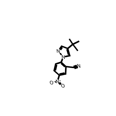 CC(C)(C)c1cnn(-c2ccc([N+](=O)[O-])cc2C#N)c1